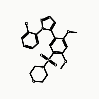 COc1cc(OC)c(S(=O)(=O)N2CCOCC2)cc1-c1ccnn1-c1ccccc1Cl